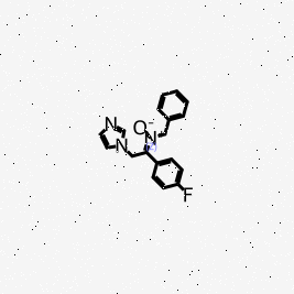 [O-]/[N+](Cc1ccccc1)=C(\Cn1ccnc1)c1ccc(F)cc1